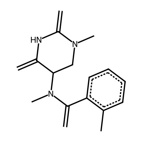 C=C1NC(=C)N(C)CC1N(C)C(=C)c1ccccc1C